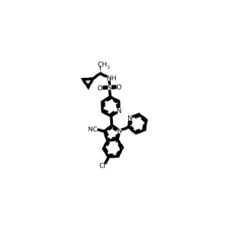 C[C@H](NS(=O)(=O)c1ccc(-c2c(C#N)c3cc(Cl)ccc3n2-c2ccccn2)nc1)C1CC1